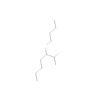 CCCCOC(CCCC)C(C)O